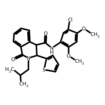 COc1cc(OC)c(NC(=O)C2c3ccccc3C(=O)N(CC(C)C)C2c2cccs2)cc1Cl